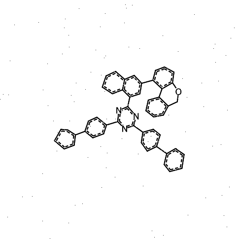 c1ccc(-c2ccc(-c3nc(-c4ccc(-c5ccccc5)cc4)nc(-c4cc(-c5cccc6c5-c5ccccc5CO6)cc5ccccc45)n3)cc2)cc1